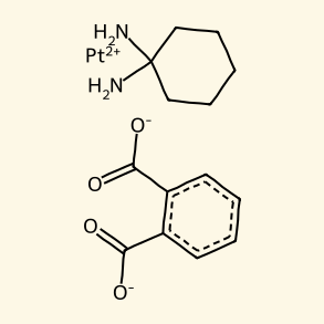 NC1(N)CCCCC1.O=C([O-])c1ccccc1C(=O)[O-].[Pt+2]